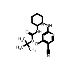 CC(C)(C)OC(=O)NC1CCCC[C@H]1Nc1cc(Cl)c(C#N)cn1